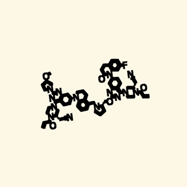 C=CC(=O)N1CCN(c2nc(OC[C@@H]3CCCN3Cc3cccc4c3CCCN4[C@@H]3CCc4c(nc(N5CC[C@@H](OC)C5)nc4N4CCN(C(=O)C=C)[C@@H](CC#N)C4)C3)nc3c2CC[C@H](N2C(=O)CCc4ccc(F)cc42)C3)C[C@@H]1CC#N